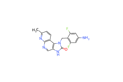 Cc1ccc2c(ncc3[nH]c(=O)n(Cc4c(F)cc(N)cc4F)c32)n1